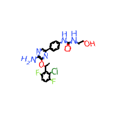 CC(Oc1nc(-c2ccc(NC(=O)NCCO)cc2)cnc1N)c1c(F)ccc(F)c1Cl